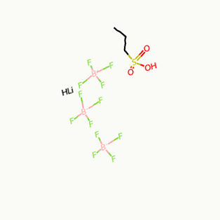 CCCS(=O)(=O)O.F[B-](F)(F)F.F[B-](F)(F)F.F[B-](F)(F)F.[LiH]